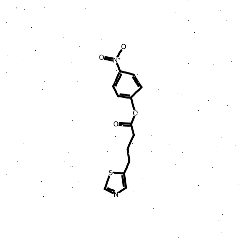 O=C(CCCc1cncs1)Oc1ccc([N+](=O)[O-])cc1